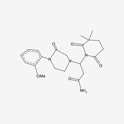 COc1ccccc1N1CCN(C(CC(N)=O)N2C(=O)CCC(C)(C)C2=O)CC1=O